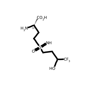 N=S(=O)(CCC(O)C(F)(F)F)CC[C@H](N)C(=O)O